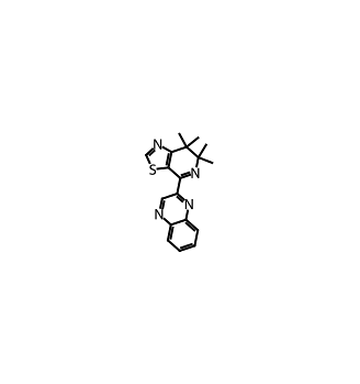 CC1(C)N=C(c2cnc3ccccc3n2)c2scnc2C1(C)C